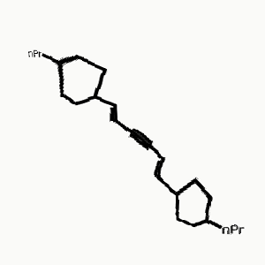 CCCC1CCC(C=CC#CC=CC2CCC(CCC)CC2)CC1